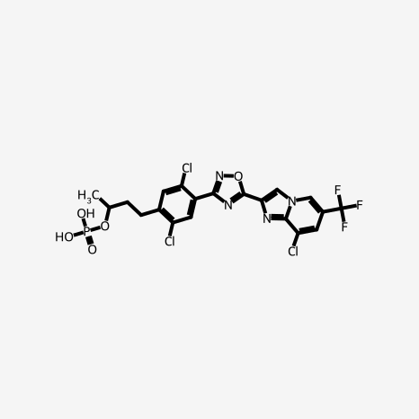 CC(CCc1cc(Cl)c(-c2noc(-c3cn4cc(C(F)(F)F)cc(Cl)c4n3)n2)cc1Cl)OP(=O)(O)O